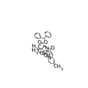 Cc1ccnc(/C=C2/C(=O)N3[C@@H](C(=O)OC(c4ccccc4)c4ccccc4)C(C)(C)S(=O)(=O)[C@H]23)c1